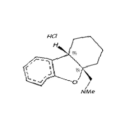 CNC[C@]12CCCC[C@H]1c1ccccc1O2.Cl